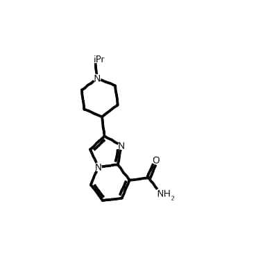 CC(C)N1CCC(c2cn3cccc(C(N)=O)c3n2)CC1